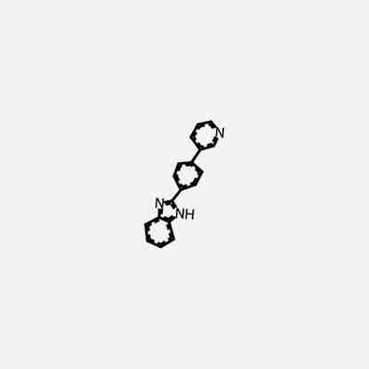 c1cncc(-c2ccc(-c3nc4ccccc4[nH]3)cc2)c1